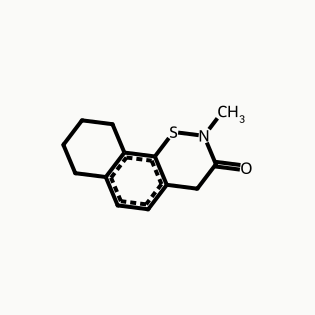 CN1Sc2c(ccc3c2CCCC3)CC1=O